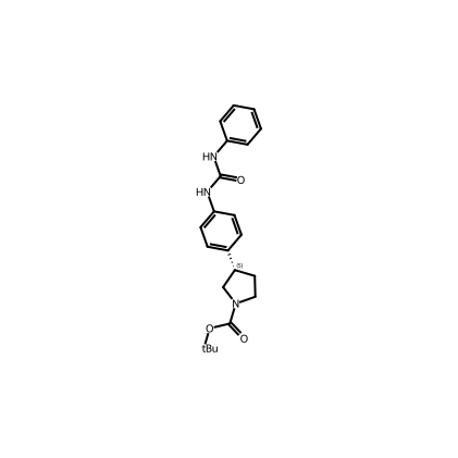 CC(C)(C)OC(=O)N1CC[C@@H](c2ccc(NC(=O)Nc3ccccc3)cc2)C1